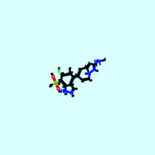 CNc1cc2cc(-c3c(C)c(F)c(S(C)(=O)=O)c4[nH]ncc34)ccn2n1